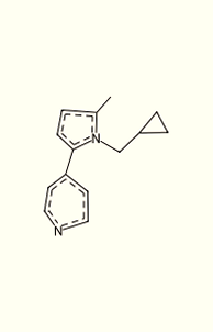 Cc1ccc(-c2ccncc2)n1CC1CC1